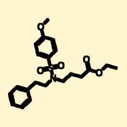 CCOC(=O)CCCN(CCc1ccccc1)S(=O)(=O)c1ccc(OC)cc1